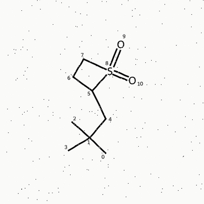 CC(C)(C)CC1CCS1(=O)=O